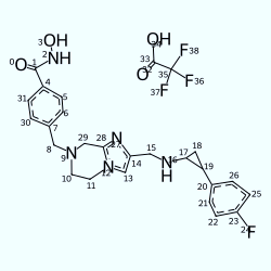 O=C(NO)c1ccc(CN2CCn3cc(CNC4CC4c4ccc(F)cc4)nc3C2)cc1.O=C(O)C(F)(F)F